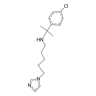 CC(C)(NCCCCCn1ccnc1)c1ccc(Cl)cc1